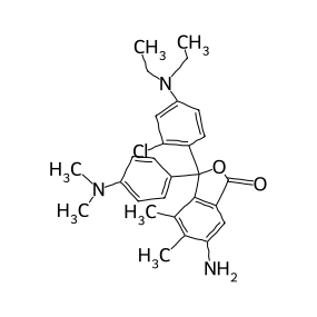 CCN(CC)c1ccc(C2(c3ccc(N(C)C)cc3)OC(=O)c3cc(N)c(C)c(C)c32)c(Cl)c1